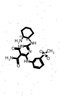 CS(=O)(=O)c1cccc(Nc2nc(N[C@@H]3CCCC[C@@H]3N)[nH]c(=O)c2C(N)=O)c1